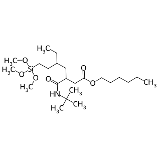 CCCCCCOC(=O)CC(CC(CC)CC[Si](OC)(OC)OC)C(=O)NC(C)(C)C